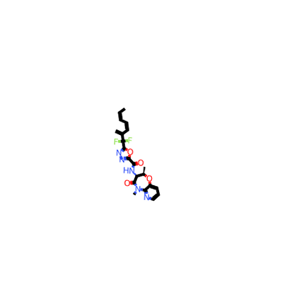 C=C(/C=C\C=C/C)C(F)(F)c1nnc(C(=O)N[C@@H]2C(=O)N(C)c3ncccc3O[C@@H]2C)o1